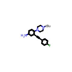 CC(C)(C)N1CCN(c2ccc(N)cc2C#Cc2ccc(F)cc2)CC1